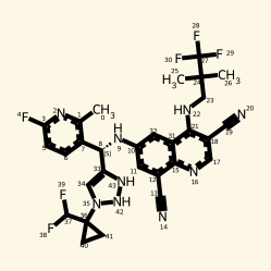 Cc1nc(F)ccc1[C@H](Nc1cc(C#N)c2ncc(C#N)c(NCC(C)(C)C(F)(F)F)c2c1)C1=CN(C2(C(F)F)CC2)NN1